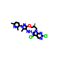 Cc1ccc(-n2nc(OC[C@H](C)Cn3cc(Cl)c4cnc(Cl)nc43)c(N)c2C)c(C)n1